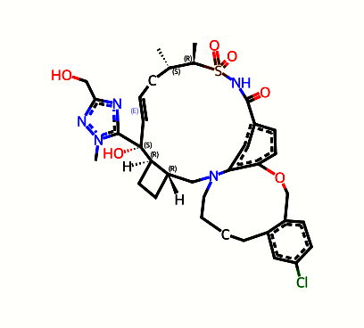 C[C@@H]1[C@@H](C)C/C=C/[C@](O)(c2nc(CO)nn2C)[C@@H]2CC[C@H]2CN2CCCCc3cc(Cl)ccc3COc3ccc(cc32)C(=O)NS1(=O)=O